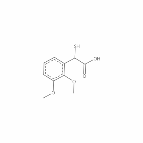 COc1cccc(C(S)C(=O)O)c1OC